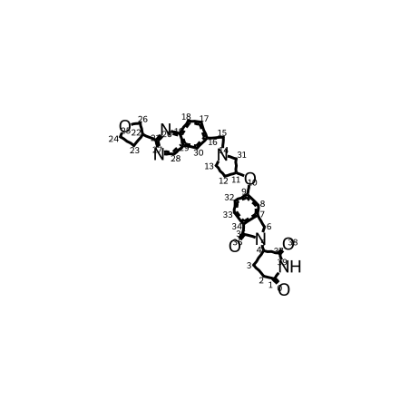 O=C1CCC(N2Cc3cc(OC4CCN(Cc5ccc6nc(C7CCOC7)ncc6c5)C4)ccc3C2=O)C(=O)N1